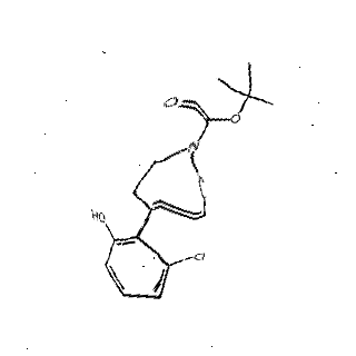 CC(C)(C)OC(=O)N1CC=C(c2c(O)cccc2Cl)CC1